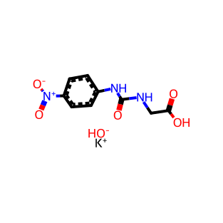 O=C(O)CNC(=O)Nc1ccc([N+](=O)[O-])cc1.[K+].[OH-]